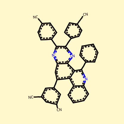 N#Cc1ccc(-c2nc3cc(-c4cc(C#N)cc(C#N)c4)c4c5ccccc5nc(-c5ccccc5)c4c3nc2-c2ccc(C#N)cc2)cc1